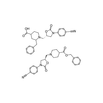 N#Cc1ccc(N2C[C@@H](CN3CCC(C(=O)OCc4ccccc4)CC3)OC2=O)cc1.N#Cc1ccc(N2C[C@H](CN3CCC(C(=O)O)CC3Cc3ccccc3)OC2=O)cc1